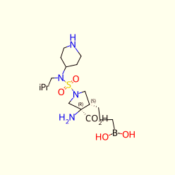 CC(C)CN(C1CCNCC1)S(=O)(=O)N1C[C@H](CCCB(O)O)[C@](N)(C(=O)O)C1